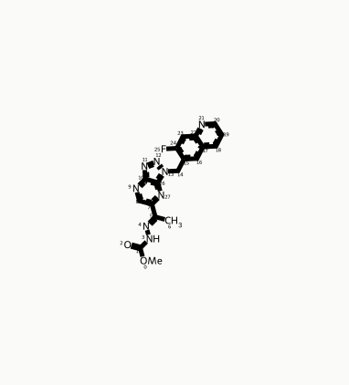 COC(=O)N/N=C(\C)c1cnc2nnn(Cc3cc4cccnc4cc3F)c2n1